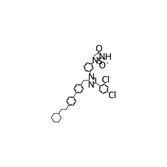 O=C1CN(c2cccc(-n3cc(-c4ccc(Cl)cc4Cl)nc3Cc3ccc(-c4ccc(CCC5CCCCC5)cc4)cc3)c2)[S+]([O-])N1